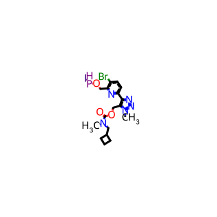 CN(CC1CCC1)C(=O)OCc1c(-c2ccc(Br)c(COPI)n2)nnn1C